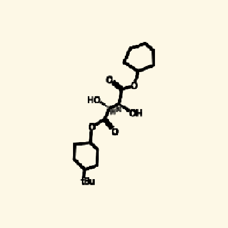 CC(C)(C)C1CCC(OC(=O)[C@H](O)[C@H](O)C(=O)OC2CCCCC2)CC1